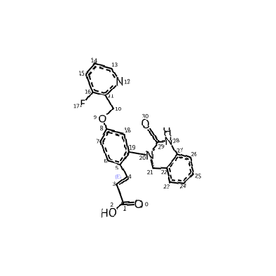 O=C(O)/C=C/c1ccc(OCc2ncccc2F)cc1N1Cc2ccccc2NC1=O